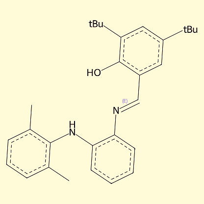 Cc1cccc(C)c1Nc1ccccc1/N=C/c1cc(C(C)(C)C)cc(C(C)(C)C)c1O